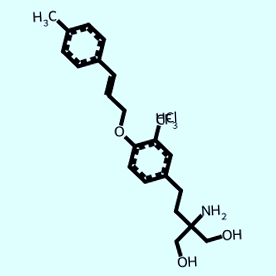 Cc1ccc(C=CCOc2ccc(CCC(N)(CO)CO)cc2C(F)(F)F)cc1.Cl